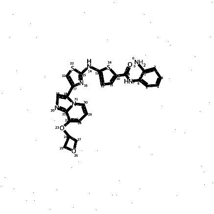 Nc1ccccc1NC(=O)c1ccc(Nc2nc(-c3cnc4c(OC5COC5)cccn34)cs2)s1